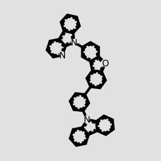 c1cc(-c2ccc3oc4ccc(-n5c6ccccc6c6cccnc65)cc4c3c2)cc(-n2c3ccccc3c3ccccc32)c1